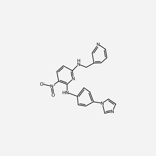 O=[N+]([O-])c1ccc(NCc2cccnc2)nc1Nc1ccc(-n2ccnc2)cc1